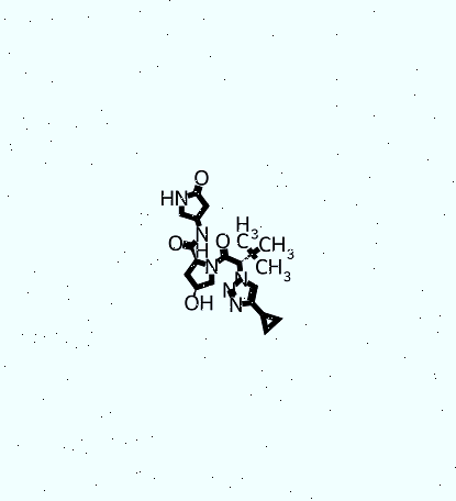 CC(C)(C)[C@@H](C(=O)N1C[C@H](O)C[C@H]1C(=O)NC1CNC(=O)C1)n1cc(C2CC2)nn1